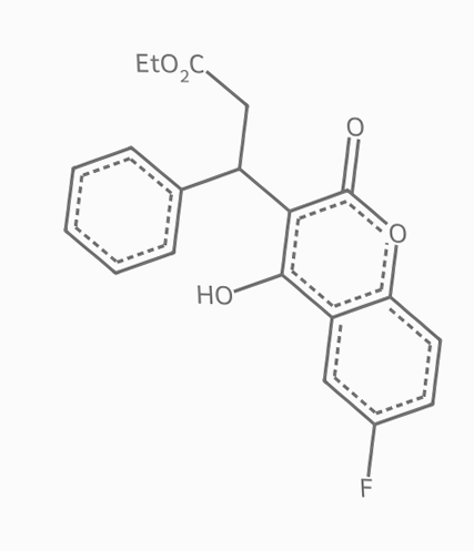 CCOC(=O)CC(c1ccccc1)c1c(O)c2cc(F)ccc2oc1=O